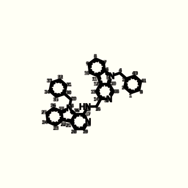 c1ccc(Cn2c3ccccc3c3cc(CNc4nccc5c6ccccc6n(Cc6ccccc6)c45)ncc32)cc1